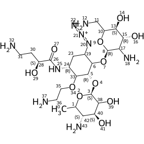 CC1O[C@@H](O[C@H]2C(O[C@H]3OC(CN)[C@@H](O)[C@H](O)C3N)C(N=[N+]=[N-])C[C@@H](NC(=O)[C@@H](O)CCN)C2OCCN)C(O)[C@@H](O)[C@@H]1N